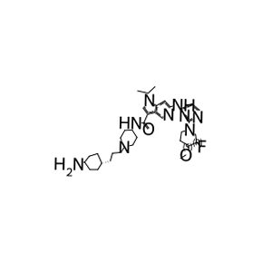 CO[C@H]1CCN(c2nccc(Nc3cc4c(cn3)c(C(=O)NC3CCN(CCC[C@H]5CC[C@H](N)CC5)CC3)cn4C(C)C)n2)C[C@H]1F